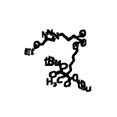 CCOCc1cn(CCCS(=O)(=O)OCCCCCC(C)(C(=O)OC(C)(C)C)C(=O)OC(C)(C)C)nn1